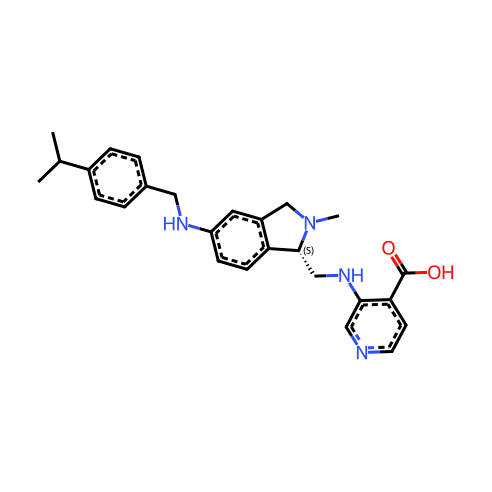 CC(C)c1ccc(CNc2ccc3c(c2)CN(C)[C@@H]3CNc2cnccc2C(=O)O)cc1